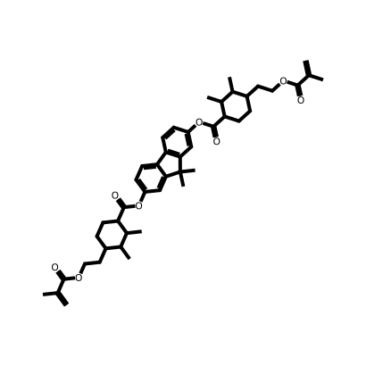 C=C(C)C(=O)OCCC1CCC(C(=O)Oc2ccc3c(c2)C(C)(C)c2cc(OC(=O)C4CCC(CCOC(=O)C(=C)C)C(C)C4C)ccc2-3)C(C)C1C